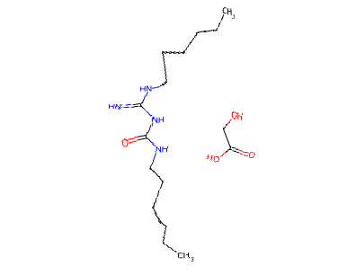 CCCCCCNC(=N)NC(=O)NCCCCCC.O=C(O)CO